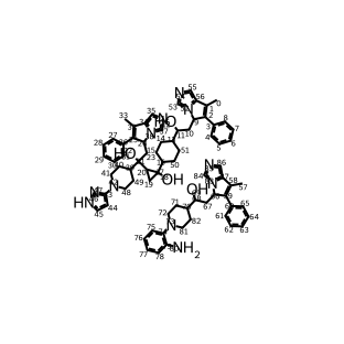 CC1=C(c2ccccc2)C(CC(O)C2CCC(C3(O)CC3C(O)(CC3C(c4ccccc4)=C(C)c4cncn43)C3CCN(c4cc[nH]n4)CC3)CC2)n2cncc21.CC1=C(c2ccccc2)C(CC(O)C2CCN(c3ccccc3N)CC2)n2cncc21